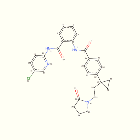 O=C(Nc1ccccc1C(=O)Nc1ccc(Cl)cn1)c1ccc(C2(CCN3CCCC3=O)CC2)cc1